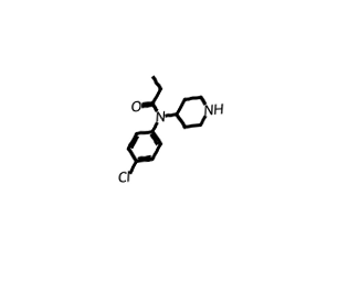 CCC(=O)N(c1ccc(Cl)cc1)C1CCNCC1